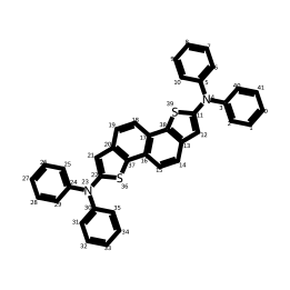 c1ccc(N(c2ccccc2)c2cc3ccc4c(ccc5cc(N(c6ccccc6)c6ccccc6)sc54)c3s2)cc1